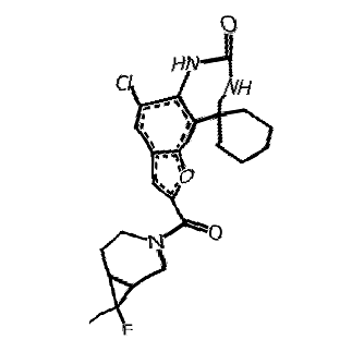 CC1(F)C2CCN(C(=O)c3cc4cc(Cl)c5c(c4o3)C3(CCCCC3)NC(=O)N5)CC21